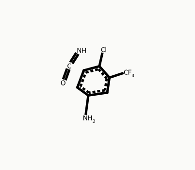 N=C=O.Nc1ccc(Cl)c(C(F)(F)F)c1